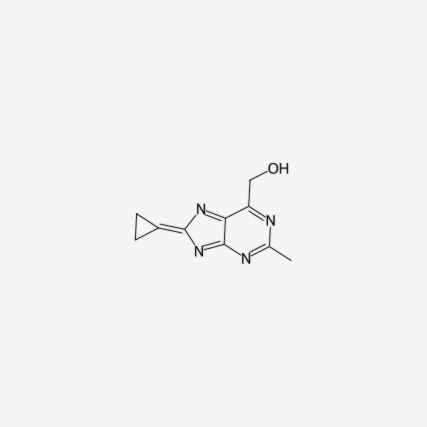 Cc1nc(CO)c2c(n1)=NC(=C1CC1)N=2